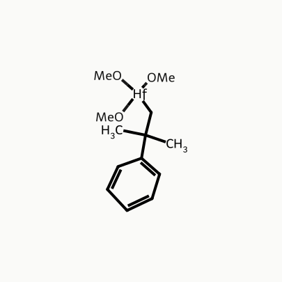 C[O][Hf]([CH2]C(C)(C)c1ccccc1)([O]C)[O]C